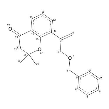 C=C(COCc1ccccc1)c1cccc2c1OC(C)(C)OC2=O